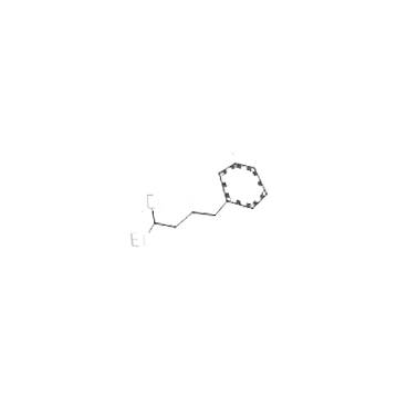 CCC(CC)CCCc1cc[c]cc1